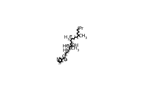 CC(C)CCCC(C)CCCC(C)CCCC(C)(O)C(O)CNCCCOC(=O)c1cccnc1